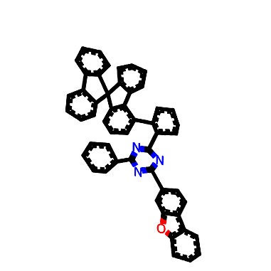 c1ccc(-c2nc(-c3ccc4c(c3)oc3ccccc34)nc(-c3ccccc3-c3cccc4c3-c3ccccc3C43c4ccccc4-c4ccccc43)n2)cc1